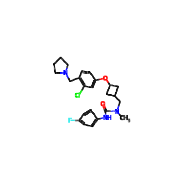 CN(CC1CC(Oc2ccc(CN3CCCC3)c(Cl)c2)C1)C(=O)Nc1ccc(F)cc1